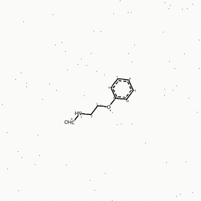 O=CNCCOc1ccccc1